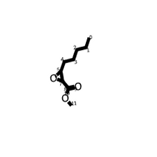 CCCCCC1OC1C(=O)OC